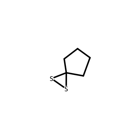 C1CCC2(C1)SS2